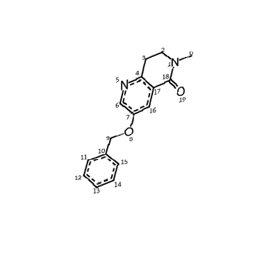 CN1CCc2ncc(OCc3ccccc3)cc2C1=O